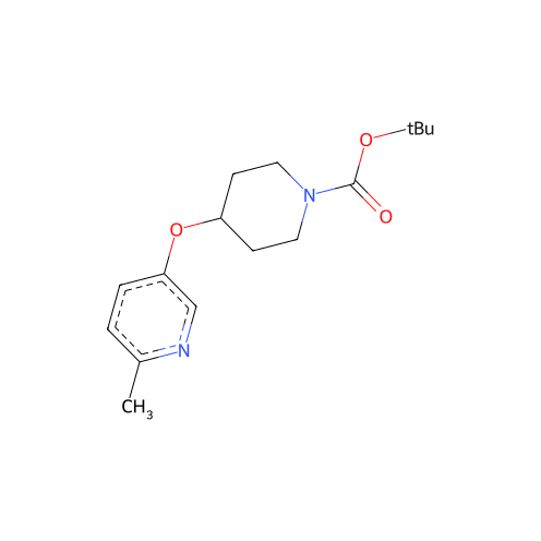 Cc1ccc(OC2CCN(C(=O)OC(C)(C)C)CC2)cn1